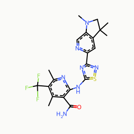 Cc1nc(Nc2nc(-c3cc4c(cn3)N(C)CC4(C)C)ns2)c(C(N)=O)c(C)c1C(F)(F)F